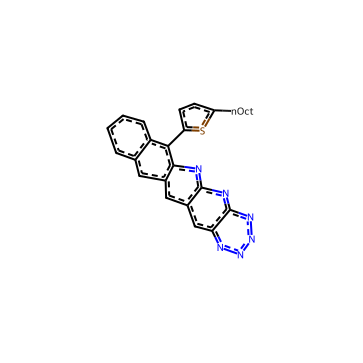 CCCCCCCCc1ccc(-c2c3ccccc3cc3cc4cc5nnnnc5nc4nc23)s1